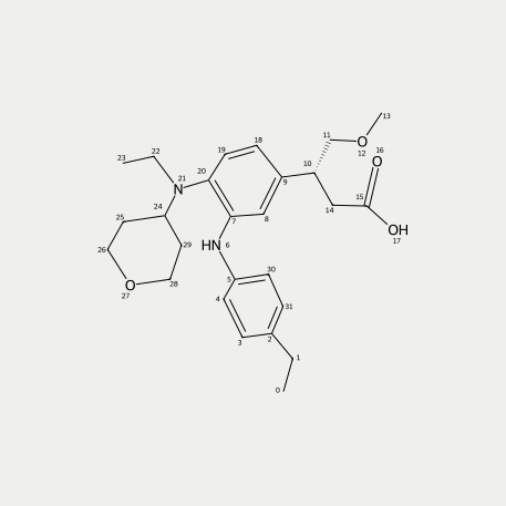 CCc1ccc(Nc2cc([C@H](COC)CC(=O)O)ccc2N(CC)C2CCOCC2)cc1